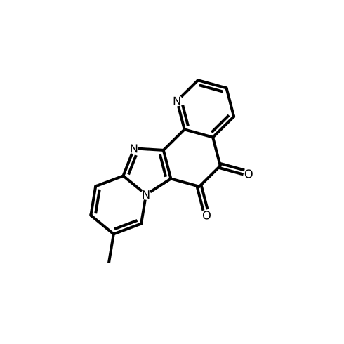 Cc1ccc2nc3c(n2c1)C(=O)C(=O)c1cccnc1-3